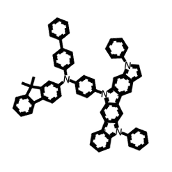 CC1(C)c2ccccc2-c2ccc(N(c3ccc(-c4ccccc4)cc3)c3ccc(-n4c5cc6c7ccccc7n(-c7ccccc7)c6cc5c5cc6ccn(-c7ccccc7)c6cc54)cc3)cc21